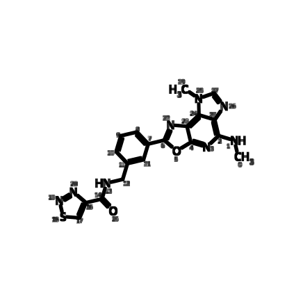 CNc1nc2oc(-c3cccc(CNC(=O)c4csnn4)c3)nc2c2c1ncn2C